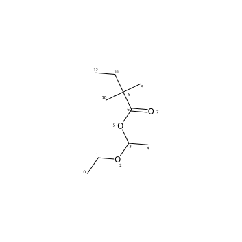 CCOC(C)OC(=O)C(C)(C)CC